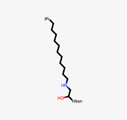 CCCCCCCCCC(O)CNCCCCCCCCCCCC(C)C